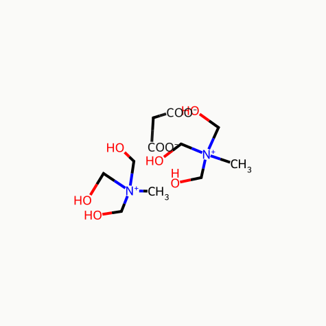 C[N+](CO)(CO)CO.C[N+](CO)(CO)CO.O=C([O-])CC(=O)[O-]